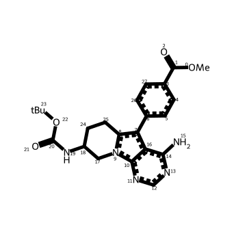 COC(=O)c1ccc(-c2c3n(c4ncnc(N)c24)CC(NC(=O)OC(C)(C)C)CC3)cc1